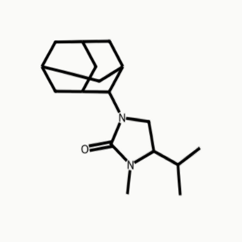 CC(C)C1CN(C2C3CC4CC(C3)CC2C4)C(=O)N1C